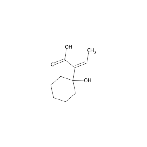 CC=C(C(=O)O)C1(O)CCCCC1